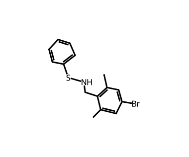 Cc1cc(Br)cc(C)c1CNSc1ccccc1